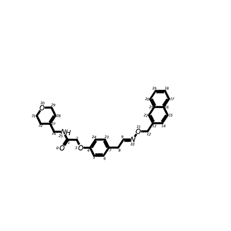 O=C(COc1ccc(CC=NOCc2ccc3ccccc3c2)cc1)NCC1=CCOCC1